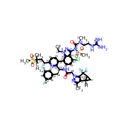 CN(CCNC(=N)N)C(=O)N(c1nn(CC(F)(F)F)c2c(-c3ccc(CCC(C)(C)S(C)(=O)=O)nc3[C@H](Cc3cc(F)cc(F)c3)NC(=O)Cn3nc(C(F)(F)F)c4c3C(F)(F)C3C[C@H]43)ccc(Cl)c12)S(C)(=O)=O